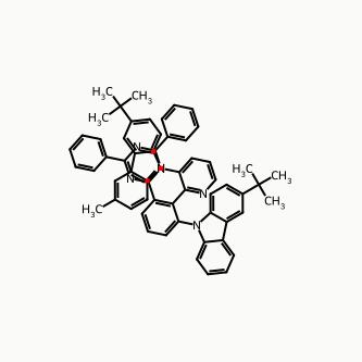 Cc1ccc2c(c1)c1cc(C(C)(C)C)ccc1n2-c1cccnc1-c1c(-c2nc(-c3ccccc3)nc(-c3ccccc3)n2)cccc1-n1c2ccccc2c2cc(C(C)(C)C)ccc21